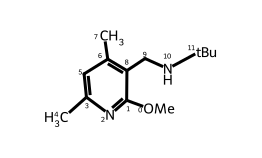 COc1nc(C)cc(C)c1CNC(C)(C)C